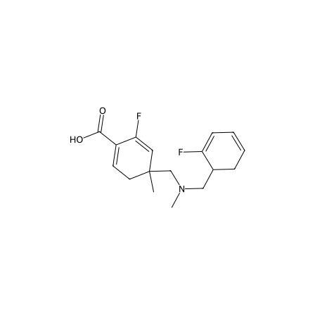 CN(CC1CC=CC=C1F)CC1(C)C=C(F)C(C(=O)O)=CC1